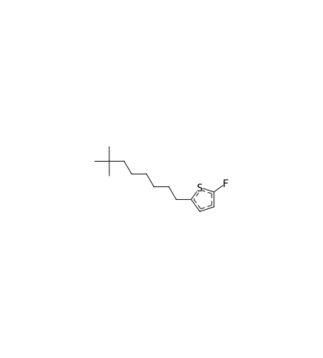 CC(C)(C)CCCCCCc1ccc(F)s1